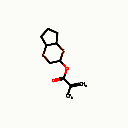 C=C(C(=O)OC1CSC2CCCC2S1)C(F)(F)F